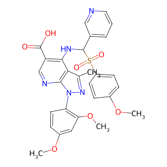 COc1ccc(S(=O)(=O)C(Nc2c(C(=O)O)cnc3c2c(C)nn3-c2ccc(OC)cc2OC)c2cccnc2)cc1